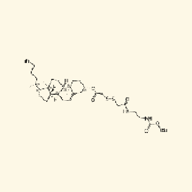 CC(C)CCC[C@@H](C)[C@H]1CC[C@H]2[C@@H]3CC=C4C[C@@H](OC(=O)CSSCC(=O)NCCNC(=O)OC(C)(C)C)CC[C@]4(C)[C@H]3CC[C@]12C